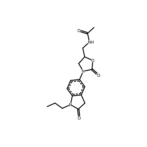 CCCN1C(=O)Cc2cc(N3CC(CNC(C)=O)OC3=O)ccc21